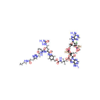 CC(=O)CCNC(=O)CCc1cn(CC(=O)N[C@H](C(=O)N[C@@H](CCCNC(N)=O)C(=O)Nc2ccc(COC(=O)NCC(C)(C)COC(=O)O[C@@H]3[C@@H]4O[P@](=O)(S)OC[C@H]5O[C@@H](n6cnc7c(N)ncnc76)[C@H](F)[C@@H]5O[P@](=O)(S)OCC4O[C@H]3n3cnc4c(N)ncnc43)cc2)C(C)C)nn1